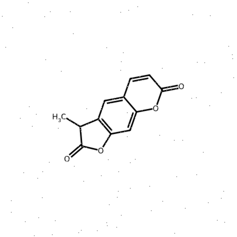 CC1C(=O)Oc2cc3oc(=O)ccc3cc21